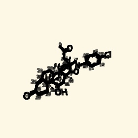 CC(=O)CSC(=O)[C@@]12ON(c3ccc(Cl)cc3)C[C@@H]1C[C@H]1[C@@H]3CCC4=CC(=O)C=C[C@]4(C)[C@@]3(F)[C@@H](O)C[C@@]12C